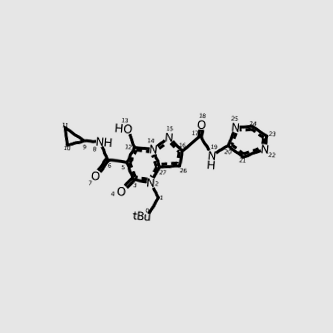 CC(C)(C)Cn1c(=O)c(C(=O)NC2CC2)c(O)n2nc(C(=O)Nc3cnccn3)cc12